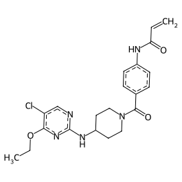 C=CC(=O)Nc1ccc(C(=O)N2CCC(Nc3ncc(Cl)c(OCC)n3)CC2)cc1